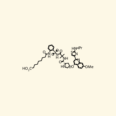 COc1ccc2c(O[C@H]3CN[C@H](C(=O)NC(C)(C)C(=O)NS(=O)(=O)c4ccccc4NC(=O)CCCCCCCC(=O)O)C3)cc(-c3csc(NC(C)C)n3)nc2c1